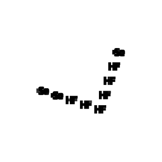 F.F.F.F.F.F.[Se].[Se].[Se]